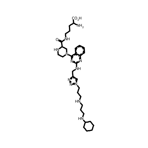 NC(CCCNC(=O)C1CN(c2nc(NCc3cn(CCCNCCCNC4CCCCC4)nn3)nc3ccccc23)CCN1)C(=O)O